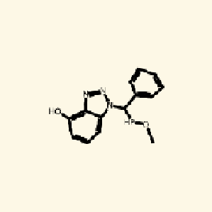 COPC(c1ccccc1)n1nnc2c(O)cccc21